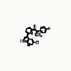 C[C@H](Nc1cccc(-c2c[nH]c3ncc(Cl)cc23)n1)c1ccc(F)cc1